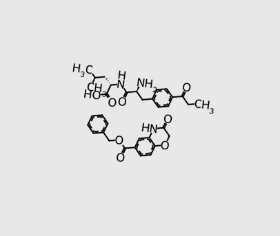 CCC(=O)c1ccc(C[C@H](N)C(=O)N[C@@H](CC(C)C)C(=O)O)cc1.O=C1COc2ccc(C(=O)OCc3ccccc3)cc2N1